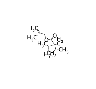 C=C(C)COC(=O)C(C)(C(C)C)C(C)C